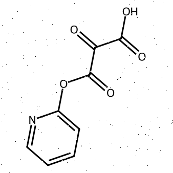 O=C(O)C(=O)C(=O)Oc1ccccn1